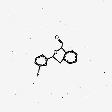 O=CC1OC(c2cccc(F)c2)Cc2ccccc21